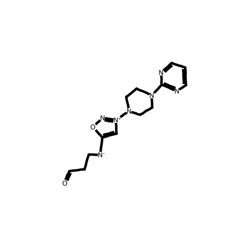 O=CCC[N-]c1c[n+](N2CCN(c3ncccn3)CC2)no1